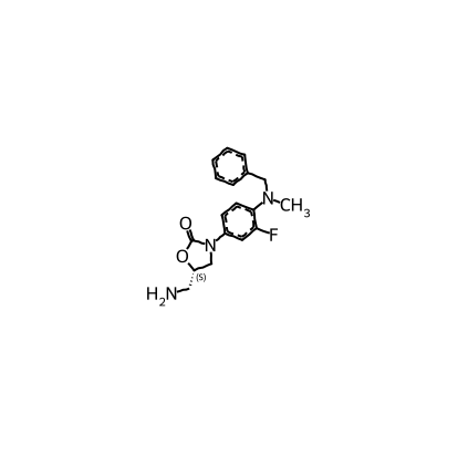 CN(Cc1ccccc1)c1ccc(N2C[C@H](CN)OC2=O)cc1F